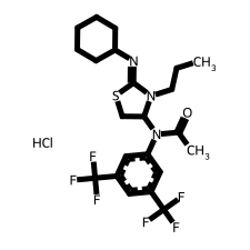 CCCN1C(=NC2CCCCC2)SCC1N(C(C)=O)c1cc(C(F)(F)F)cc(C(F)(F)F)c1.Cl